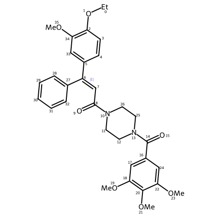 CCOc1ccc(/C(=C/C(=O)N2CCN(C(=O)c3cc(OC)c(OC)c(OC)c3)CC2)c2ccccc2)cc1OC